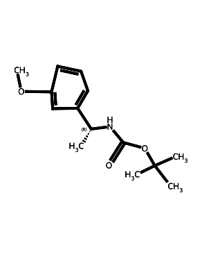 COc1cccc([C@@H](C)NC(=O)OC(C)(C)C)c1